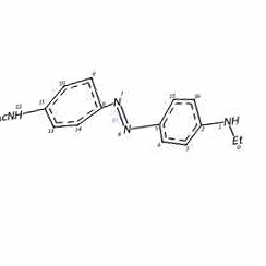 CCNc1ccc(/N=N/c2ccc(NC(C)=O)cc2)cc1